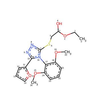 CCOC(O)CSc1nnc(-c2ccco2)n1-c1c(OC)cccc1OC